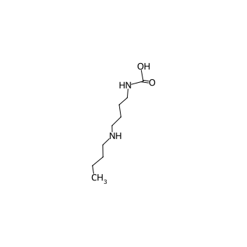 CCCCNCCCCNC(=O)O